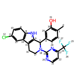 Cc1ccc(C2c3[nH]c4ccc(Cl)cc4c3CCN2c2nccc(C(F)(F)F)n2)cc1O